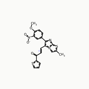 COc1ccc(-c2nc3sc(C)cn3c2/C=C/C(=O)c2cccs2)cc1[N+](=O)[O-]